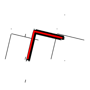 [Al].[Al].[Al].[Al].[Al].[Al].[Al].[Al].[Al].[Al].[Al].[Al].[Al].[Al].[Al].[Al].[Al].[Al].[Al].[Al].[Al].[Al].[Al].[Al].[Al].[Al].[Al].[Al].[Al].[Al].[Al].[Al].[Al].[Al].[Al].[Al].[Al].[Al].[Al].[Al].[Al].[Al].[Al].[Al].[Al].[Al].[Al].[Al].[Al].[Al].[Al].[Al].[Al].[Al].[Al].[Al].[Al].[Al].[Al].[Al].[Al].[Al].[Al].[Al].[Al].[Al].[Al].[Al].[Al].[Al].[Al].[Al].[Al].[Al].[Al].[Al].[Al].[Al].[Al].[Al].[Al].[Al].[Al].[Al].[Al].[Al].[Al].[Al].[Al].[Al].[Al].[Al].[Al].[Al].[Al].[Al].[Al].[Al].[Al].[Al].[Ti]